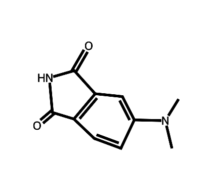 CN(C)c1ccc2c(c1)C(=O)NC2=O